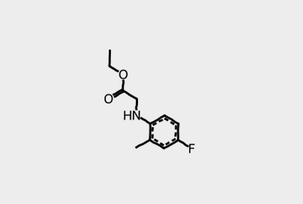 CCOC(=O)CNc1ccc(F)cc1C